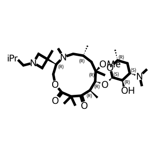 CO[C@]1(C)C[C@@H](C)CN(C)[C@H](C2(C)CN(CC(C)C)C2)COC(=O)C(C)(C)C(=O)[C@H](C)[C@H]1O[C@@H]1O[C@H](C)C[C@H](N(C)C)[C@H]1O